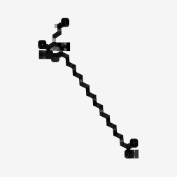 O=[C]CC[C@H](NC(=O)CCCCCCCCCCCCCCCCCCC(=O)O)C(=O)O